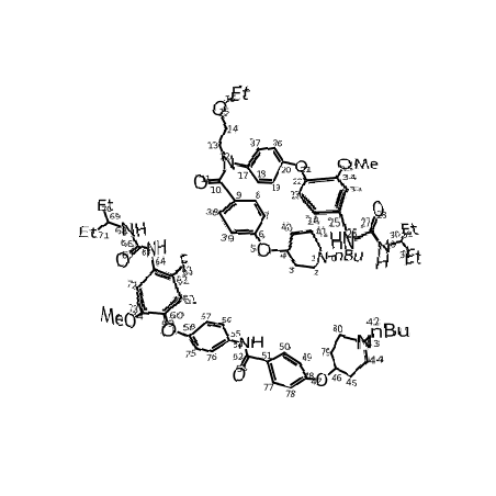 CCCCN1CCC(Oc2ccc(C(=O)N(CCOCC)c3ccc(Oc4ccc(NC(=O)NC(CC)CC)cc4OC)cc3)cc2)CC1.CCCCN1CCC(Oc2ccc(C(=O)Nc3ccc(Oc4cc(F)c(NC(=O)NC(CC)CC)cc4OC)cc3)cc2)CC1